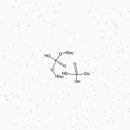 CCCCCCCCCCOP(=O)(O)OCCCCCCCCCC.O=P(O)(O)O